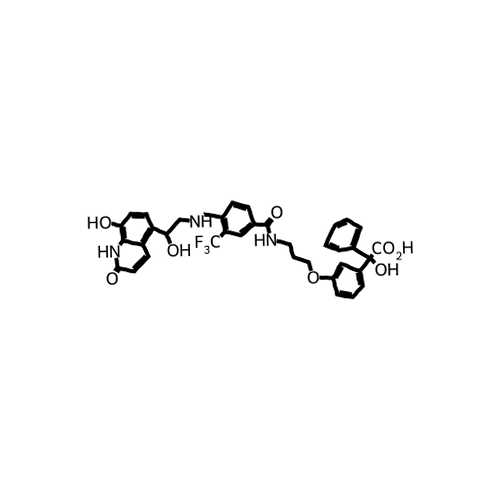 O=C(NCCCOc1cccc(C(O)(C(=O)O)c2ccccc2)c1)c1ccc(CNCC(O)c2ccc(O)c3[nH]c(=O)ccc23)c(C(F)(F)F)c1